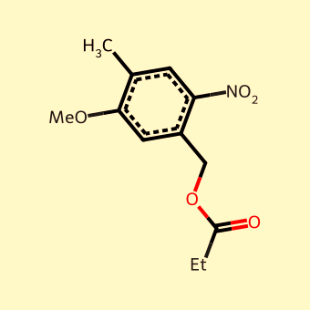 CCC(=O)OCc1cc(OC)c(C)cc1[N+](=O)[O-]